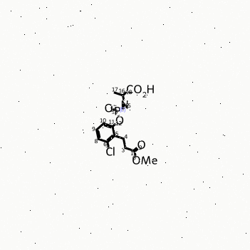 COC(=O)CCc1c(Cl)cccc1O/[P+]([O-])=N/C(C)C(=O)O